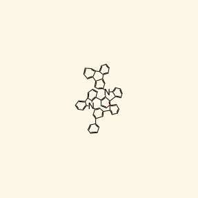 c1ccc(-c2cc(-c3ccccc3)cc(-n3c4ccccc4c4cccc(-c5cccc6c7ccccc7n(-c7ccc8c9ccccc9c9ccccc9c8c7)c56)c43)c2)cc1